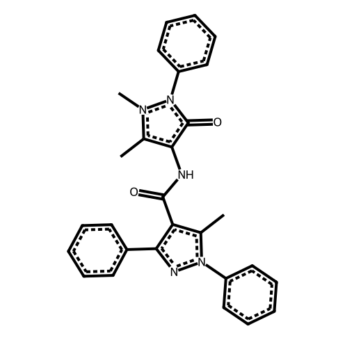 Cc1c(C(=O)Nc2c(C)n(C)n(-c3ccccc3)c2=O)c(-c2ccccc2)nn1-c1ccccc1